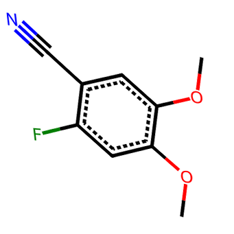 COc1cc(F)c(C#N)cc1OC